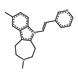 Cc1ccc2c(c1)c1c(n2/C=C/c2cccnc2)CCN(C)CC1